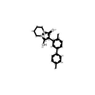 Cc1ccc(-c2ccc(C)c(-c3c(O)n4n(c3=O)CCCC4)c2)cc1